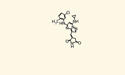 Cc1ccc(Cl)cc1Nc1cc(NC2CC2)n2ncc(C=C3CC(=O)NC3=O)c2n1